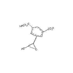 O=C(O)c1cc(C(=O)O)cc(C2OC2O)c1